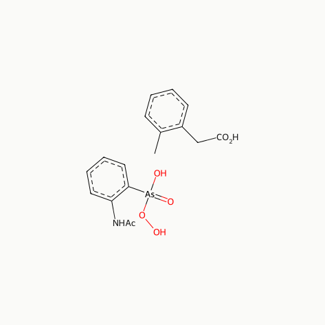 CC(=O)Nc1ccccc1[As](=O)(O)OO.Cc1ccccc1CC(=O)O